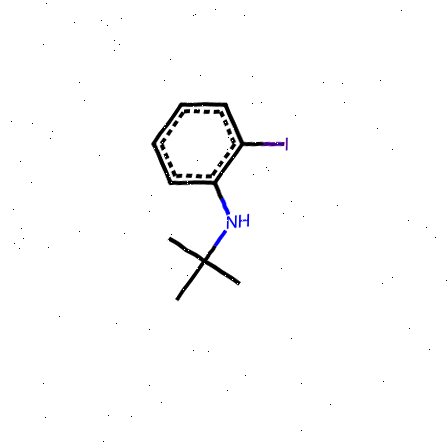 CC(C)(C)Nc1ccccc1I